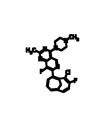 Cc1nc(N2CCN(C)CC2)c2cnc(C3=C4CC(=CC=C3)C=CC(F)=C4Cl)c(F)c2n1